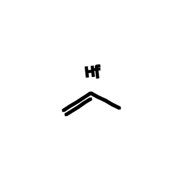 C=CC.[Hf]